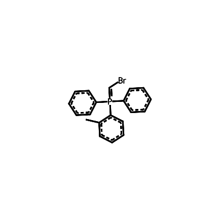 Cc1ccccc1P(=CBr)(c1ccccc1)c1ccccc1